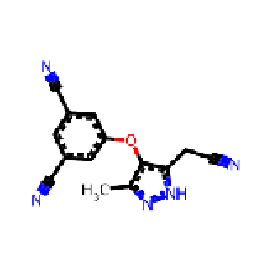 Cc1n[nH]c(CC#N)c1Oc1cc(C#N)cc(C#N)c1